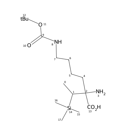 CC(C(N)(CCCCNC(=O)OC(C)(C)C)C(=O)O)[Si](C)(C)C